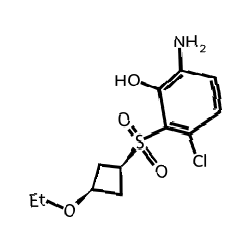 CCO[C@H]1C[C@@H](S(=O)(=O)c2c(Cl)ccc(N)c2O)C1